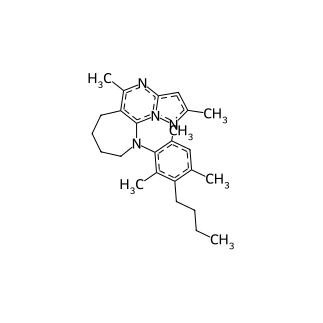 CCCCc1c(C)cc(C)c(N2CCCCc3c(C)nc4cc(C)nn4c32)c1C